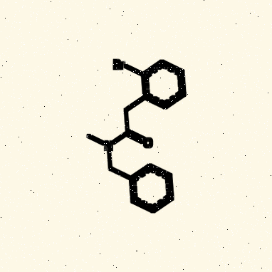 CN(Cc1ccccc1)C(=O)Cc1ccccc1Br